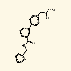 CC(=O)NC(C)Cc1ccc(-c2cccc(C(=O)NCc3ccccn3)c2)cc1